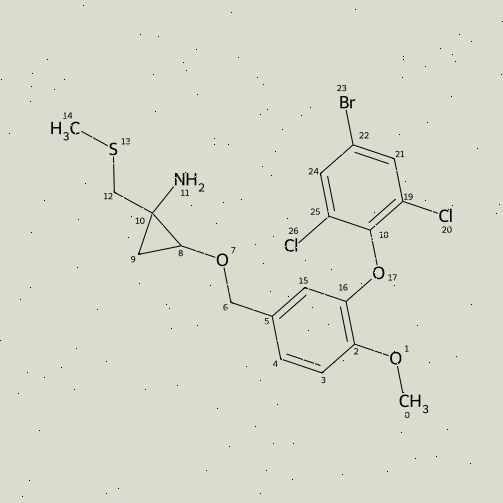 COc1ccc(COC2CC2(N)CSC)cc1Oc1c(Cl)cc(Br)cc1Cl